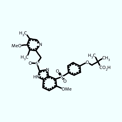 COc1ccc2[nH]c([S+]([O-])Cc3ncc(C)c(OC)c3C)nc2c1S(=O)(=O)c1ccc(OCC(C)(C)C(=O)O)cc1